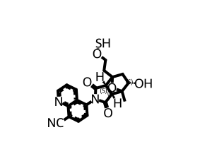 CC12OC(CCOS)(C[C@@H]1O)[C@H]1C(=O)N(c3ccc(C#N)c4ncccc34)C(=O)[C@H]12